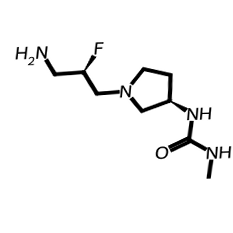 CNC(=O)N[C@@H]1CCN(C[C@H](F)CN)C1